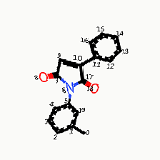 Cc1cccc(N2C(=O)C=C(c3ccccc3)C2=O)c1